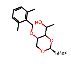 CCCCCC[C@H]1OC[C@@H](OCc2c(C)cccc2C)[C@@H](C(C)O)O1